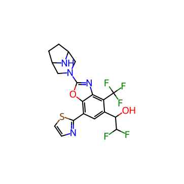 OC(c1cc(-c2nccs2)c2oc(N3CC4CCC(C3)N4)nc2c1C(F)(F)F)C(F)F